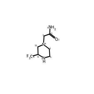 NC(=O)CN1CCNC(C(F)(F)F)C1